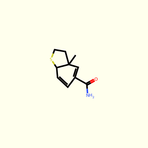 CC12C=C(C(N)=O)C=CC1SCC2